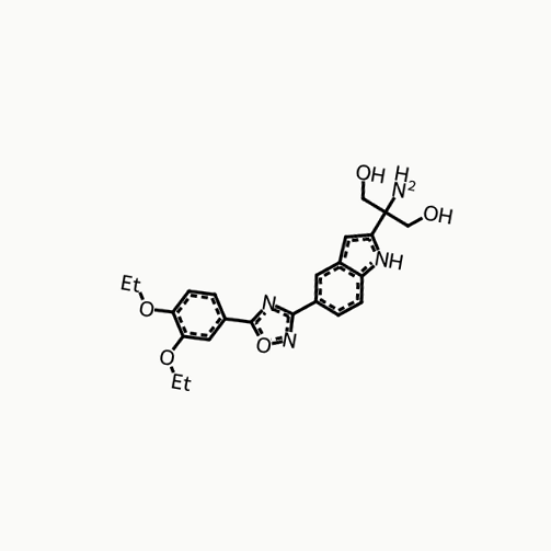 CCOc1ccc(-c2nc(-c3ccc4[nH]c(C(N)(CO)CO)cc4c3)no2)cc1OCC